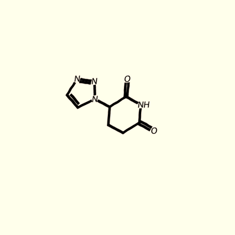 O=C1CCC(n2ccnn2)C(=O)N1